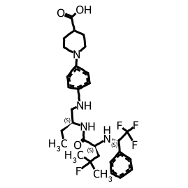 CC[C@@H](CNc1ccc(N2CCC(C(=O)O)CC2)cc1)NC(=O)[C@H](CC(C)(C)F)N[C@@H](c1ccccc1)C(F)(F)F